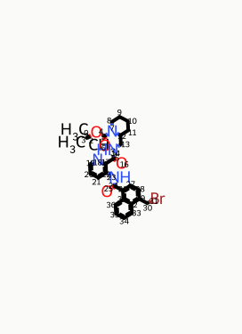 CC(C)(C)OC(=O)N1CCCCC1CNC(=O)c1ncccc1NC(=O)c1ccc(CBr)c2ccccc12